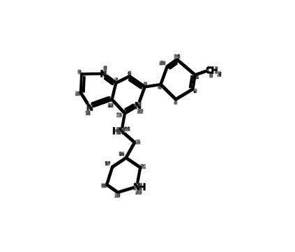 CC1=CCC(c2cc3nccnc3c(NCC3CCCNC3)n2)C=C1